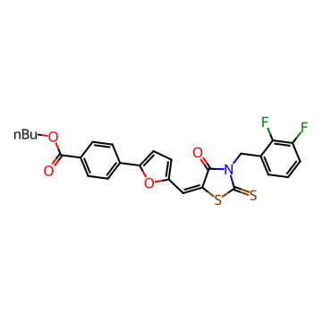 CCCCOC(=O)c1ccc(-c2ccc(/C=C3/SC(=S)N(Cc4cccc(F)c4F)C3=O)o2)cc1